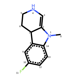 CN1C2=CNCCC2c2cc(F)ccc21